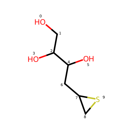 OCC(O)C(O)CC1CS1